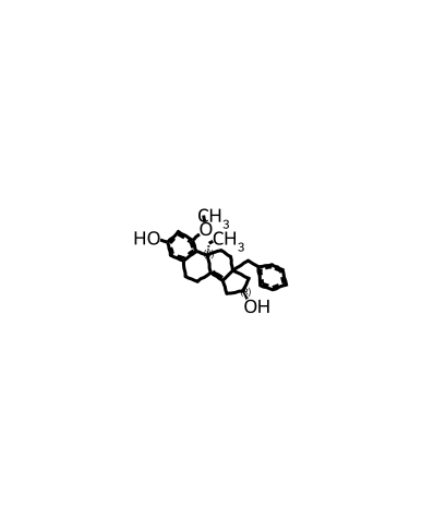 CC[C@]12CCC3(Cc4ccccc4)C[C@@H](O)CC3=C1CCc1cc(O)cc(OC)c12